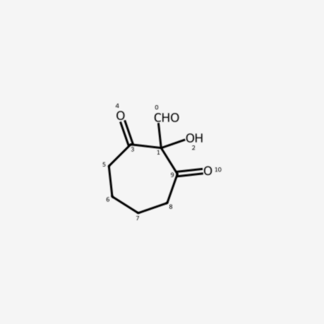 O=CC1(O)C(=O)CCCCC1=O